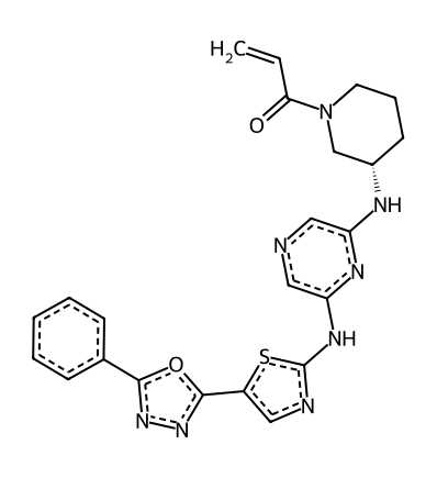 C=CC(=O)N1CCC[C@H](Nc2cncc(Nc3ncc(-c4nnc(-c5ccccc5)o4)s3)n2)C1